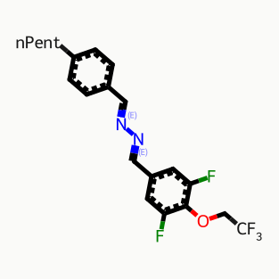 CCCCCc1ccc(/C=N/N=C/c2cc(F)c(OCC(F)(F)F)c(F)c2)cc1